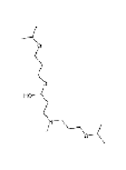 CC(C)OCCCOC(O)CCN(C)CCCOC(C)C